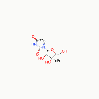 CCC[C@@]1(O)[C@@H](CO)O[C@@H](n2ccc(=O)[nH]c2=O)[C@@H]1O